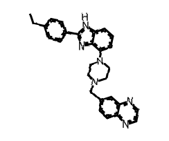 CCc1ccc(-c2nc3c(N4CCN(Cc5ccc6nccnc6c5)CC4)cccc3[nH]2)cc1